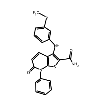 NC(=O)c1sc2c(ccc(=O)n2-c2ccccc2)c1Nc1cccc(SC(F)(F)F)c1